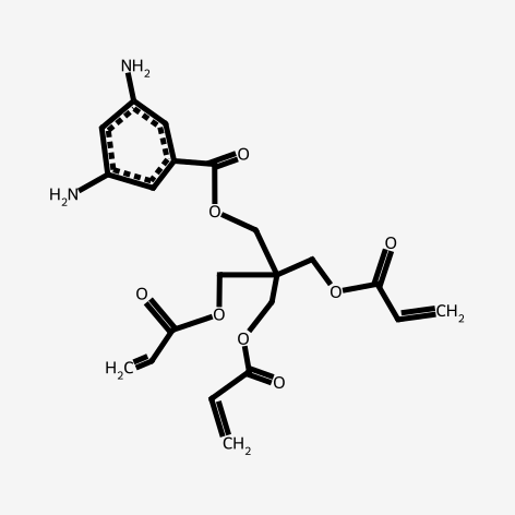 C=CC(=O)OCC(COC(=O)C=C)(COC(=O)C=C)COC(=O)c1cc(N)cc(N)c1